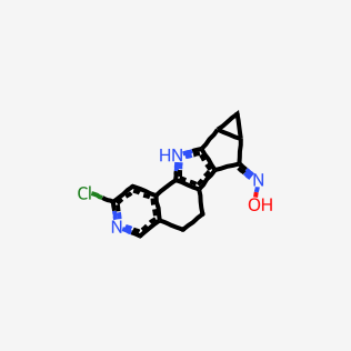 ON=C1c2c([nH]c3c2CCc2cnc(Cl)cc2-3)C2CC12